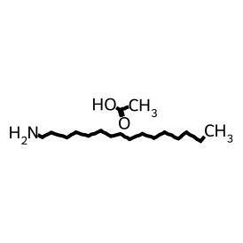 CC(=O)O.CCCCCCCCCCCCCCCCN